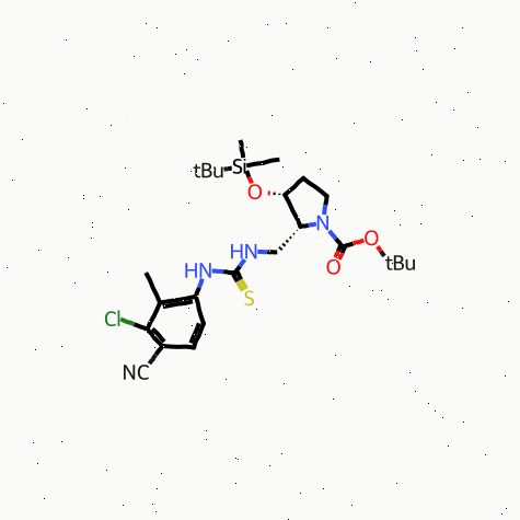 Cc1c(NC(=S)NC[C@@H]2[C@H](O[Si](C)(C)C(C)(C)C)CCN2C(=O)OC(C)(C)C)ccc(C#N)c1Cl